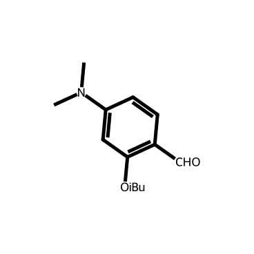 CC(C)COc1cc(N(C)C)ccc1C=O